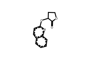 O=C1OCCC1Oc1ccc2ccccc2n1